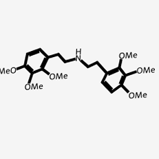 COc1ccc(CCNCCc2ccc(OC)c(OC)c2OC)c(OC)c1OC